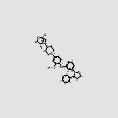 COc1cc(N2CCC(N3C[C@H]4C[C@@H]3CO4)CC2)ccc1Nc1cc(N2OCCC2c2ccccc2)ncn1